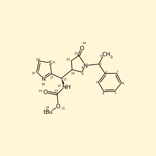 CC(c1ccccc1)N1CC([C@@H](NC(=O)OC(C)(C)C)c2nccs2)CC1=O